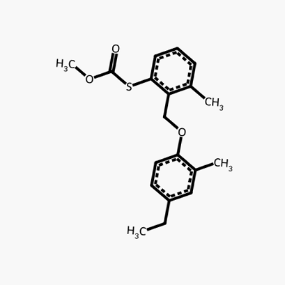 CCc1ccc(OCc2c(C)cccc2SC(=O)OC)c(C)c1